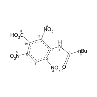 CCCCC(=O)Nc1c([N+](=O)[O-])cc([N+](=O)[O-])c(C(=O)O)c1[N+](=O)[O-]